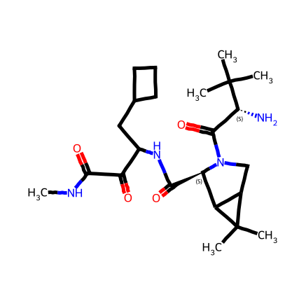 CNC(=O)C(=O)C(CC1CCC1)NC(=O)[C@@H]1C2C(CN1C(=O)[C@@H](N)C(C)(C)C)C2(C)C